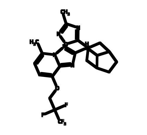 Cc1noc(N2CC3CCC(C2)C3Nc2nc3c(OCC(F)(F)C(F)(F)F)ccc(C)n3n2)n1